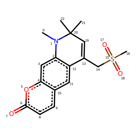 CN1c2cc3oc(=O)ccc3cc2C(CS(C)(=O)=O)=CC1(C)C